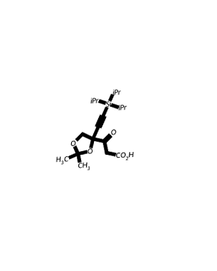 CC(C)[Si](C#CC1(C(=O)CC(=O)O)COC(C)(C)O1)(C(C)C)C(C)C